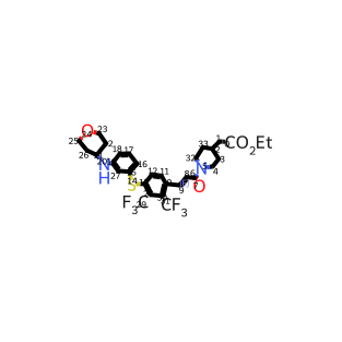 CCOC(=O)CC1CCN(C(=O)/C=C/c2ccc(Sc3cccc(NC4CCOCC4)c3)c(C(F)(F)F)c2C(F)(F)F)CC1